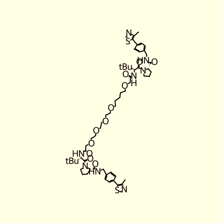 Cc1ncsc1-c1ccc(CNC(=O)[C@@H]2CCCN2C(=O)[C@@H](NC(=O)COCCCCCOCCOCCOCCOCC(=O)N[C@H](C(=O)N2CCC[C@H]2C(=O)NCc2ccc(-c3scnc3C)cc2)C(C)(C)C)C(C)(C)C)cc1